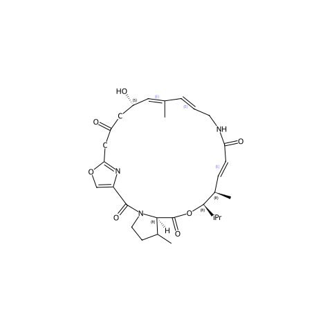 CC1=C\[C@@H](O)CC(=O)Cc2nc(co2)C(=O)N2CCC(C)[C@@H]2C(=O)O[C@H](C(C)C)[C@H](C)/C=C/C(=O)NC\C=C\1